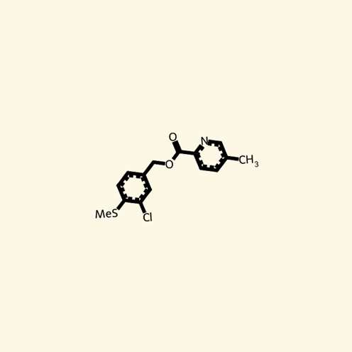 CSc1ccc(COC(=O)c2ccc(C)cn2)cc1Cl